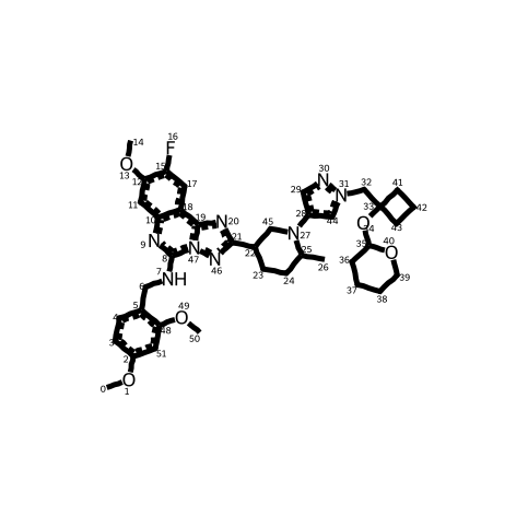 COc1ccc(CNc2nc3cc(OC)c(F)cc3c3nc(C4CCC(C)N(c5cnn(CC6(OC7CCCCO7)CCC6)c5)C4)nn23)c(OC)c1